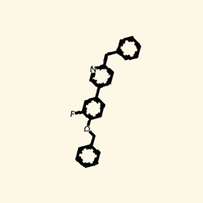 Fc1cc(-c2ccc(Cc3ccccc3)nc2)ccc1OCc1ccccc1